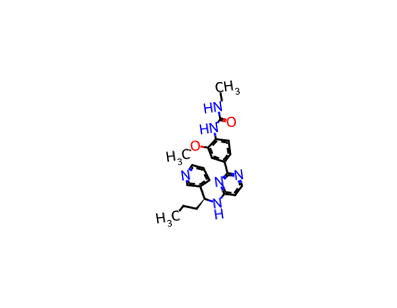 CCC[C@H](Nc1ccnc(-c2ccc(NC(=O)NCC)c(OC)c2)n1)c1cccnc1